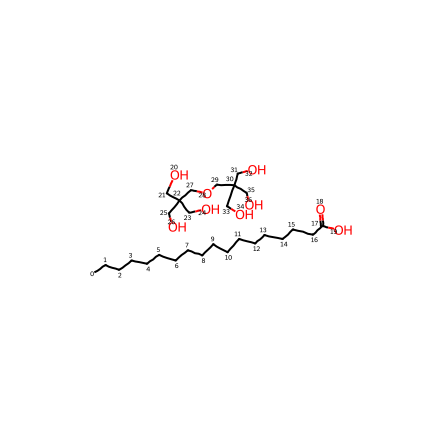 CCCCCCCCCCCCCCCCCC(=O)O.OCC(CO)(CO)COCC(CO)(CO)CO